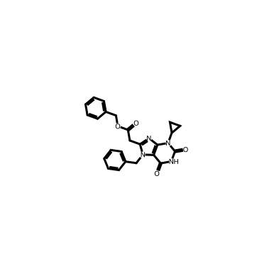 O=C(Cc1nc2c(c(=O)[nH]c(=O)n2C2CC2)n1Cc1ccccc1)OCc1ccccc1